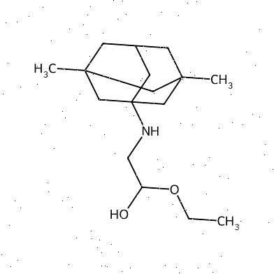 CCOC(O)CNC12CC3CC(C)(CC(C)(C3)C1)C2